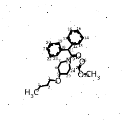 CCCCOC1CCN(C(=O)C(c2ccccc2)c2ccccc2)[C@H](C(=O)OC)C1